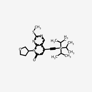 CSc1ncc2c(C#C[Si](C(C)C)(C(C)C)C(C)C)cc(=O)n(C3CCOC3)c2n1